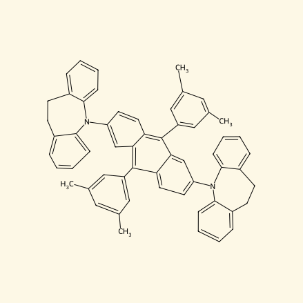 Cc1cc(C)cc(-c2c3ccc(N4c5ccccc5CCc5ccccc54)cc3c(-c3cc(C)cc(C)c3)c3ccc(N4c5ccccc5CCc5ccccc54)cc23)c1